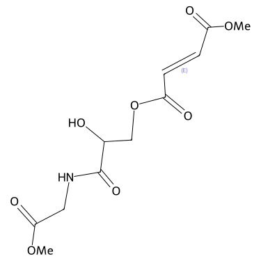 COC(=O)/C=C/C(=O)OCC(O)C(=O)NCC(=O)OC